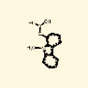 Cn1c2ccccc2c2cccc(OB(O)O)c21